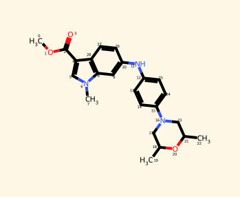 COC(=O)c1cn(C)c2cc(Nc3ccc(N4CC(C)OC(C)C4)cc3)ccc12